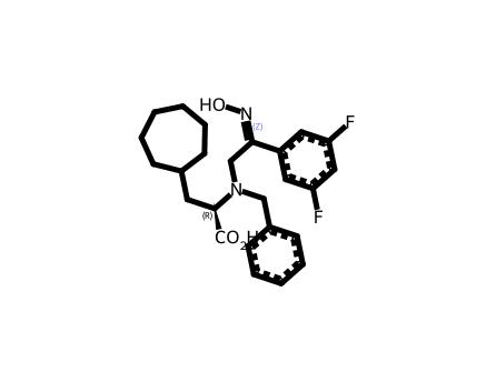 O=C(O)[C@@H](CC1CCCCCC1)N(C/C(=N\O)c1cc(F)cc(F)c1)Cc1ccccc1